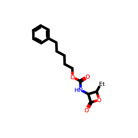 CCC1OC(=O)C1NC(=O)OCCCCCc1ccccc1